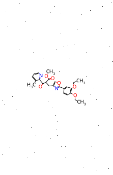 CCOc1ccc(-c2nc(CC(C(=O)OC)C(=O)c3ncccc3C)co2)cc1OCC